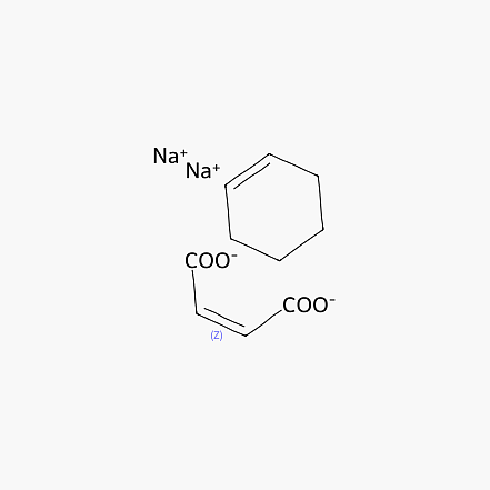 C1=CCCCC1.O=C([O-])/C=C\C(=O)[O-].[Na+].[Na+]